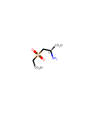 CCOC(=O)CS(=O)(=O)C[C@H](N)C(=O)O